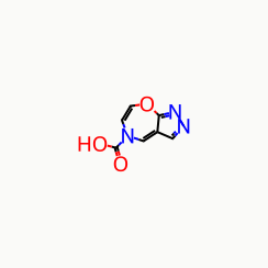 O=C(O)N1C=COC2=NN=CC2=C1